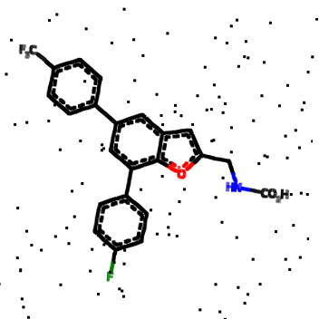 O=C(O)NCc1cc2cc(-c3ccc(C(F)(F)F)cc3)cc(-c3ccc(F)cc3)c2o1